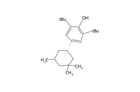 CC1C[C@H](c2cc(C(C)(C)C)c(O)c(C(C)(C)C)c2)CC(C)(C)C1